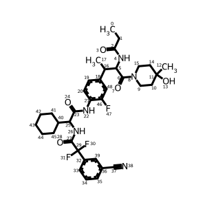 CCC(=O)NC(C(=O)N1CCC(C)(O)CC1)C(C)c1ccc(NC(=O)C(NC(=O)C(F)(F)c2cccc(C#N)c2)C2CCCCC2)c(F)c1